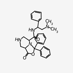 CN(C)CC(NC(=O)C1CNCC2C(=O)OC(c3ccccc3)(c3ccccc3)N12)c1ccccc1